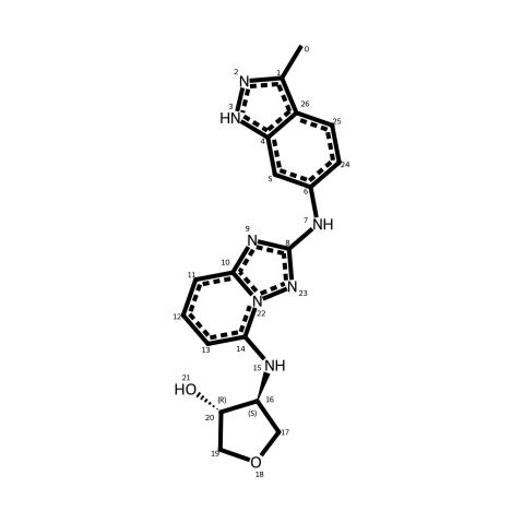 Cc1n[nH]c2cc(Nc3nc4cccc(N[C@H]5COC[C@@H]5O)n4n3)ccc12